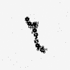 O=C1CC[C@H](N2Cc3cc(N4CCN(CCC5CCN(c6ccc(Nc7ncnc8[nH]cc(C(=O)c9ccc(Oc%10ccccc%10)cc9Cl)c78)cc6F)CC5)CC4)ccc3C2=O)C(=O)N1